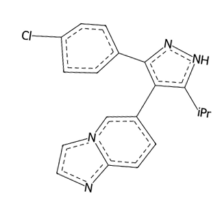 CC(C)c1[nH]nc(-c2ccc(Cl)cc2)c1-c1ccc2nccn2c1